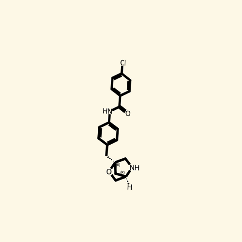 O=C(Nc1ccc(C[C@@]23CN[C@@H](CO2)C3)cc1)c1ccc(Cl)cc1